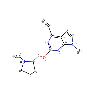 C#Cc1nc(OCC2CCCN2C(=O)O)nc2c1ccn2C